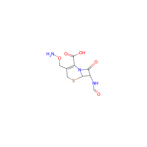 NOCC1=C(C(=O)O)N2C(=O)C(NC=O)C2SC1